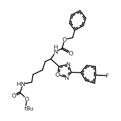 CC(C)(C)OC(=O)NCCCCC(NC(=O)OCc1ccccc1)c1nc(-c2ccc(F)cc2)no1